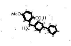 COc1ccc(C(=O)O)c(C(C)c2ccc(-c3ccccc3)cc2)c1